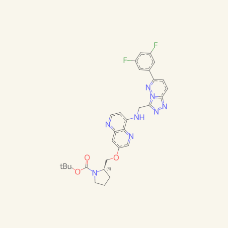 CC(C)(C)OC(=O)N1CCC[C@@H]1COc1cnc2c(NCc3nnc4ccc(-c5cc(F)cc(F)c5)nn34)ccnc2c1